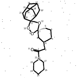 O=C(CC1CCC[C@]2(C1)OOC1(O2)C2CC3CC(C2)CC1C3)N1CCCCC1